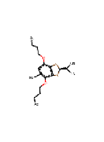 CC(=O)CCCOc1cc(C(C)(C)C)c(OCCCC(C)=O)c2c1SC(=C(C#N)C#N)S2